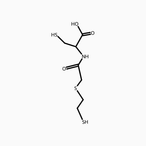 O=C(CSCCS)NC(CS)C(=O)O